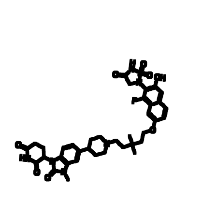 Cn1c(=O)n(C2CCC(=O)NC2=O)c2ccc(C3CCN(CCC(C)(C)CCOc4ccc5cc(O)c(N6CC(=O)NS6(=O)=O)c(F)c5c4)CC3)cc21